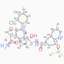 Cc1cnc2c(OC(F)F)cc(C(=O)NC[C@](O)(c3cc4c(c(-c5ccc(F)c(F)c5Cl)n3)OC[C@]4(C)C(N)=O)C3(F)CC3)cc2c1